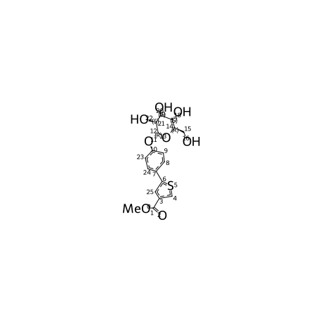 COC(=O)c1csc(-c2ccc(O[C@H]3O[C@H](CO)[C@@H](O)[C@H](O)[C@@H]3O)cc2)c1